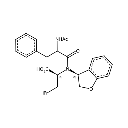 CC(=O)NC(Cc1ccccc1)C(=O)N([C@@H]1COc2ccccc21)[C@@H](CC(C)C)C(=O)O